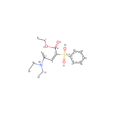 C=C(C=C(C(=O)OCC)S(=O)(=O)c1ccccc1)N(CC)CC